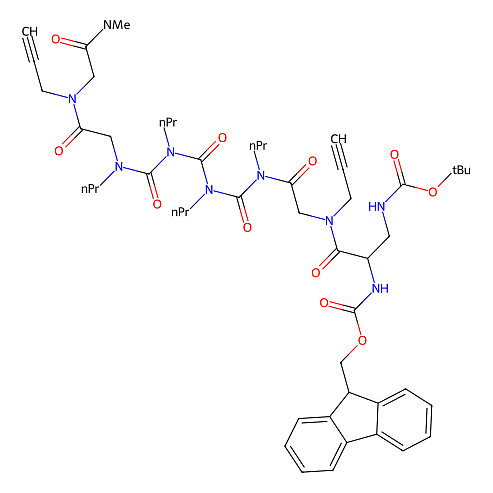 C#CCN(CC(=O)NC)C(=O)CN(CCC)C(=O)N(CCC)C(=O)N(CCC)C(=O)N(CCC)C(=O)CN(CC#C)C(=O)C(CNC(=O)OC(C)(C)C)NC(=O)OCC1c2ccccc2-c2ccccc21